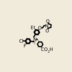 CCc1cc(CN(C[C@H]2CC[C@H](C(=O)O)CC2)[C@H](C)c2ccc(Cl)c(F)c2)ccc1OCCN1C(=O)CCC1=O